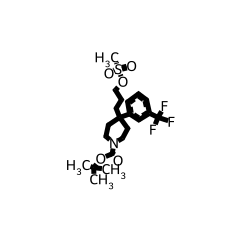 CC(C)(C)OC(=O)N1CCC(CCCOS(C)(=O)=O)(c2cccc(C(F)(F)F)c2)CC1